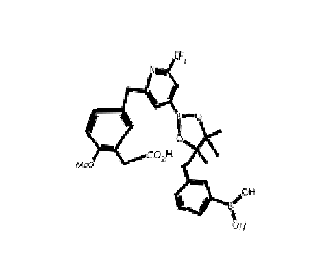 COc1ccc(Cc2cc(B3OC(C)(C)C(C)(Cc4cccc(B(O)O)c4)O3)cc(C(F)(F)F)n2)cc1CC(=O)O